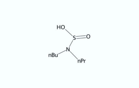 CCCCN(CCC)S(=O)O